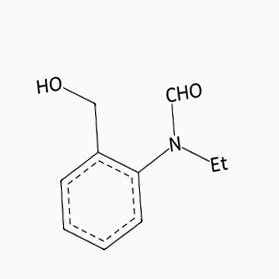 CCN(C=O)c1ccccc1CO